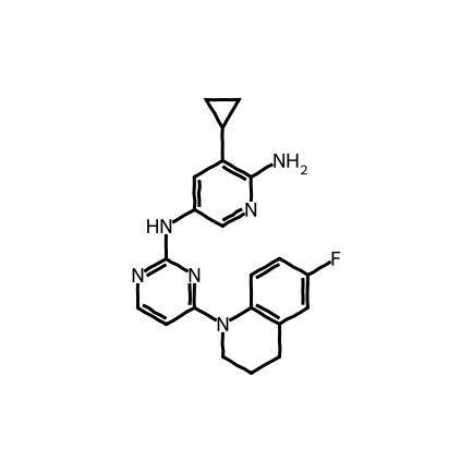 Nc1ncc(Nc2nccc(N3CCCc4cc(F)ccc43)n2)cc1C1CC1